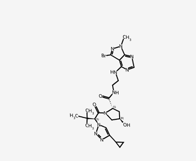 Cn1nc(Br)c2c(NCCNC(=O)[C@@H]3C[C@@H](O)CN3C(=O)[C@@H](n3cc(C4CC4)nn3)C(C)(C)C)ncnc21